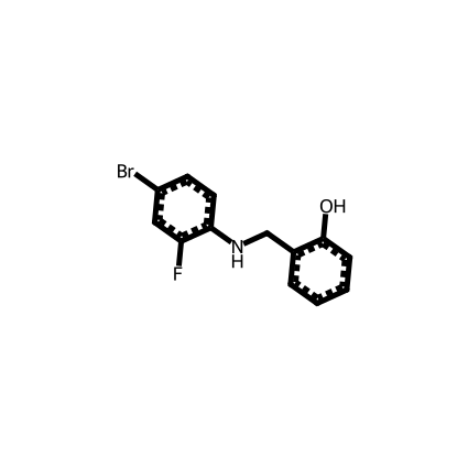 Oc1ccccc1CNc1ccc(Br)cc1F